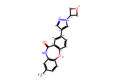 O=C1Nc2cc(C(F)(F)F)ccc2Oc2ccc(-c3cnn(C4COC4)c3)cc21